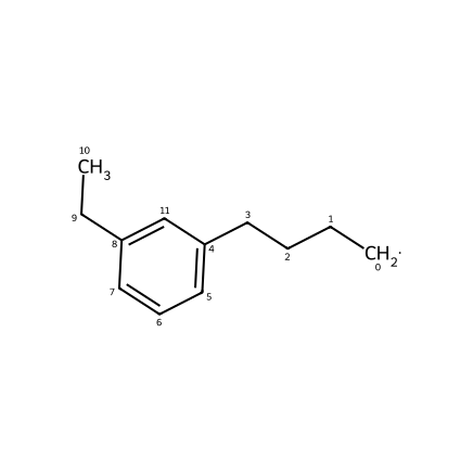 [CH2]CCCc1cccc(CC)c1